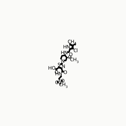 CO[C@H]1CN(c2nc(C(=O)NCCS(C)(=O)=O)c(C(=O)O)s2)CCC1NC(=O)c1[nH]c(C)c(I)c1Cl